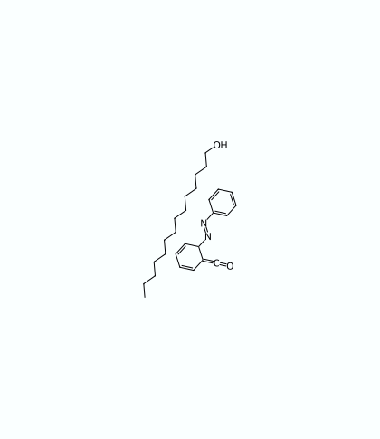 CCCCCCCCCCCCCCO.O=C=C1C=CC=CC1N=Nc1ccccc1